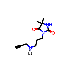 C#CCN(CC)CCCN1C(=O)NC(C)(C)C1=O